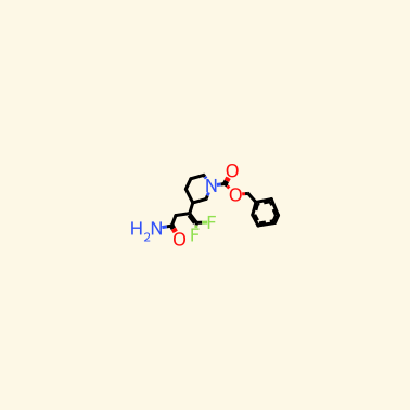 NC(=O)CC(=C(F)F)C1CCCN(C(=O)OCc2ccccc2)C1